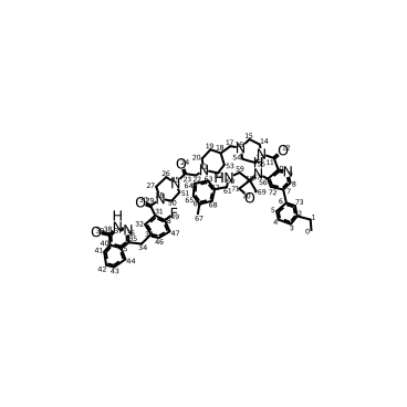 CCc1cccc(-c2cnc(C(=O)N3CCN(CC4CCN(CC(=O)N5CCN(C(=O)c6cc(Cc7n[nH]c(=O)c8ccccc78)ccc6F)CC5)CC4)CC3)c(NC3(CNCc4cccc(C)c4)COC3)c2)c1